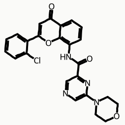 O=C(Nc1cccc2c(=O)cc(-c3ccccc3Cl)oc12)c1cncc(N2CCOCC2)n1